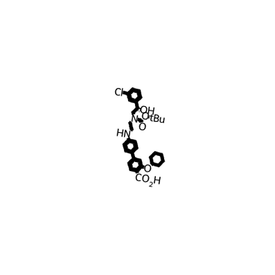 CC(C)(C)OC(=O)N(CCNc1ccc(-c2ccc(C(=O)O)c(OC3CCCCC3)c2)cc1)C[C@@H](O)c1cccc(Cl)c1